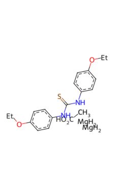 CC(=O)O.CCOc1ccc(NC(=S)Nc2ccc(OCC)cc2)cc1.[MgH2].[MgH2]